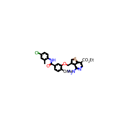 CCOC(=O)c1cnc(N)c2c(COc3cc(C(=O)Nc4ccc(Cl)cc4C)ccc3OC)csc12